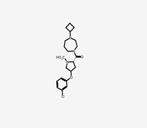 O=C([C@@H]1CC(Oc2cccc(Cl)c2)CN1C(=O)O)N1CCCN(C2CCC2)CC1